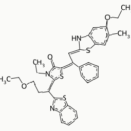 CCOCC/C(c1nc2ccccc2s1)=c1/s/c(=C(/C=C2Nc3cc(OCC)c(C)cc3S2)c2ccccc2)c(=O)n1CC